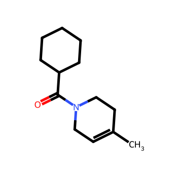 CC1=CCN(C(=O)C2CCCCC2)CC1